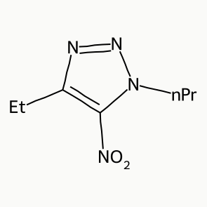 CCCn1nnc(CC)c1[N+](=O)[O-]